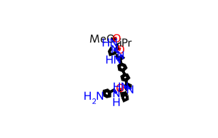 COC(=O)N[C@H](C(=O)N1CCC[C@H]1c1ncc(-c2ccc(-c3ccc(-c4cnc([C@H]5C6CCC(C6)[C@@H]5C(=O)NCc5ccc(N)cc5)[nH]4)cc3)cc2)[nH]1)C(C)C